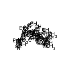 CCn1nc(-c2ccc(C)cc2)cc(Nc2cnccc2C)c1=O.CCn1nc(-c2cccc(C)c2)cc(Nc2ccc(C(=O)O)cc2)c1=O.CCn1nc(-c2cccc(C)c2)cc(Nc2cccnc2)c1=O.CCn1nc(-c2cccc(C)c2)cc(Nc2cncc3ccccc23)c1=O.CCn1nc(-c2cccc(C)c2)cc(Nc2cnccc2C)c1=O